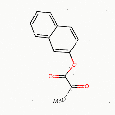 COC(=O)C(=O)Oc1ccc2ccccc2c1